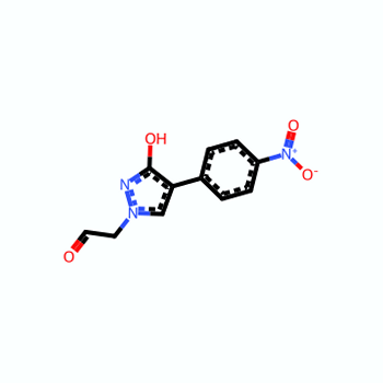 O=CCn1cc(-c2ccc([N+](=O)[O-])cc2)c(O)n1